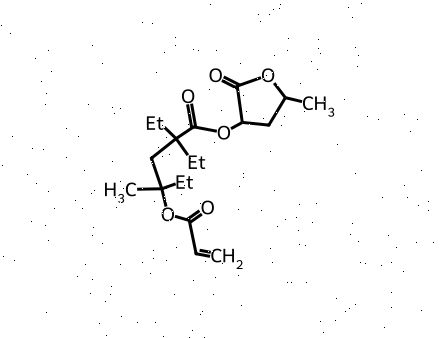 C=CC(=O)OC(C)(CC)CC(CC)(CC)C(=O)OC1CC(C)OC1=O